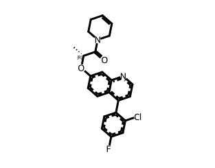 C[C@@H](Oc1ccc2c(-c3ccc(F)cc3Cl)ccnc2c1)C(=O)N1CC=CCC1